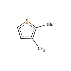 CC(C)(C)c1sccc1C(F)(F)F